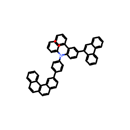 c1ccc(-c2cc(-c3cc4ccccc4c4ccccc34)ccc2N(c2ccccc2)c2ccc(-c3ccc4ccc5ccc6ccccc6c5c4c3)cc2)cc1